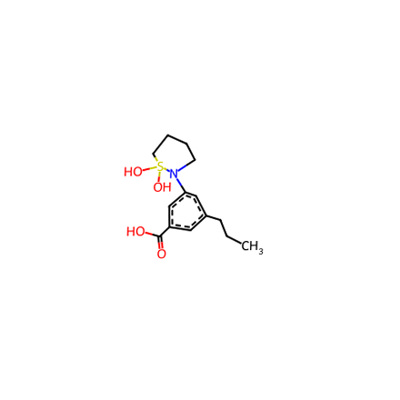 CCCc1cc(C(=O)O)cc(N2CCCCS2(O)O)c1